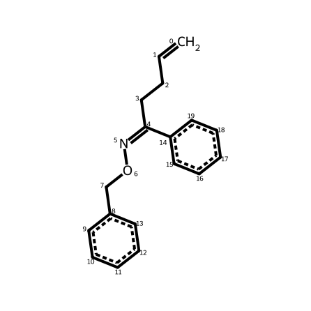 C=CCCC(=NOCc1ccccc1)c1ccccc1